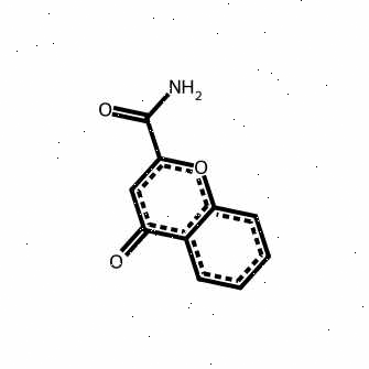 NC(=O)c1cc(=O)c2ccccc2o1